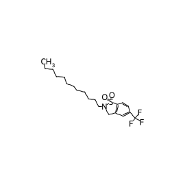 CCCCCCCCCCCCN1Cc2cc(C(F)(F)F)ccc2S1(=O)=O